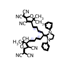 CC1(C)OC(=C(C#N)C#N)C(C#N)=C1/C=C/C=C/C(/C=C/C=C/C1=C(C#N)C(=C(C#N)C#N)OC1(C)C)=C1N(c2ccccc2)CCN1c1ccccc1